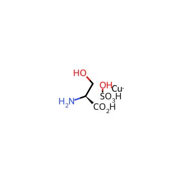 N[C@@H](CO)C(=O)O.O=S(=O)(O)O.[Cu]